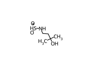 CC(C)(O)CCN[SH](=O)=O